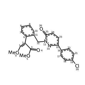 COC=C(C(=O)OC)c1ccccc1Cn1nc(-c2ccc(Cl)cc2)ccc1=O